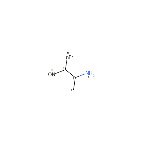 [CH2]CCC(N=O)C(C)N